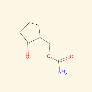 NC(=O)OCC1CCCC1=O